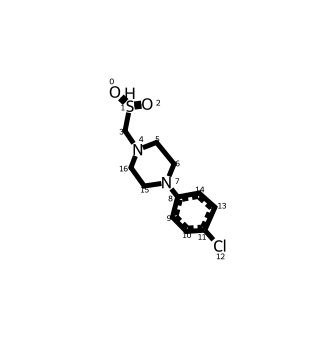 O=[SH](=O)CN1CCN(c2ccc(Cl)cc2)CC1